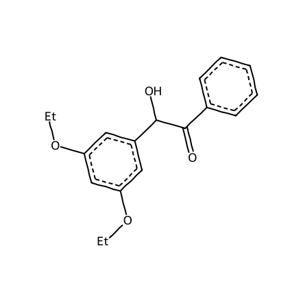 CCOc1cc(OCC)cc(C(O)C(=O)c2ccccc2)c1